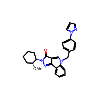 CO[C@@H]1CCCC[C@H]1n1nc2c3ccccc3n(Cc3ccc(-n4cccn4)cc3)cc-2c1=O